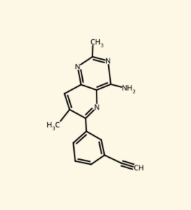 C#Cc1cccc(-c2nc3c(N)nc(C)nc3cc2C)c1